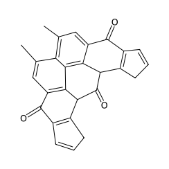 Cc1cc2c3c4c5c(cc(C)c14)C(=O)C1=C(CC=C1)C5C(=O)C3C1=C(C=CC1)C2=O